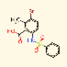 Cc1c(Br)ccc(NS(=O)(=O)c2ccccc2)c1C(=O)O